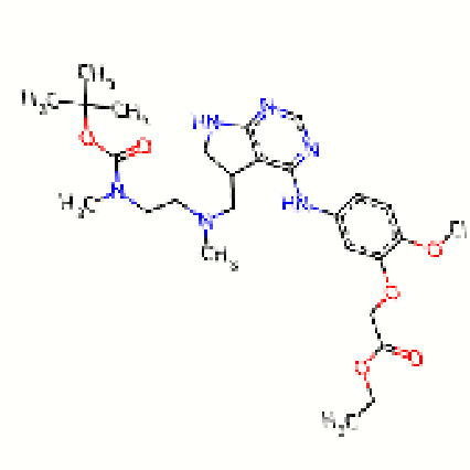 CCOC(=O)COc1cc(Nc2ncnc3c2C(CN(C)CCN(C)C(=O)OC(C)(C)C)CN3)ccc1OC